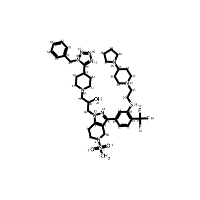 CS(=O)(=O)N1CCc2c(c(-c3ccc(C(F)(F)F)c(SCCN4CCC(N5CCCC5)CC4)c3)nn2CC(O)CN2CCC(c3nnnn3Cc3ccccc3)CC2)C1